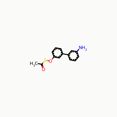 CC(=O)SOc1cccc(-c2cccc(N)c2)c1